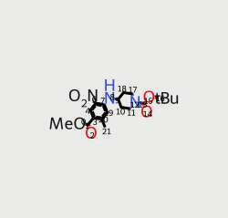 COC(=O)c1cc([N+](=O)[O-])c(NC2CCN(C(=O)OC(C)(C)C)CC2)cc1C